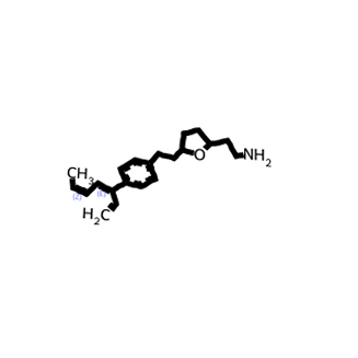 C=C/C(=C\C=C/C)c1ccc(CCC2CCC(CCN)O2)cc1